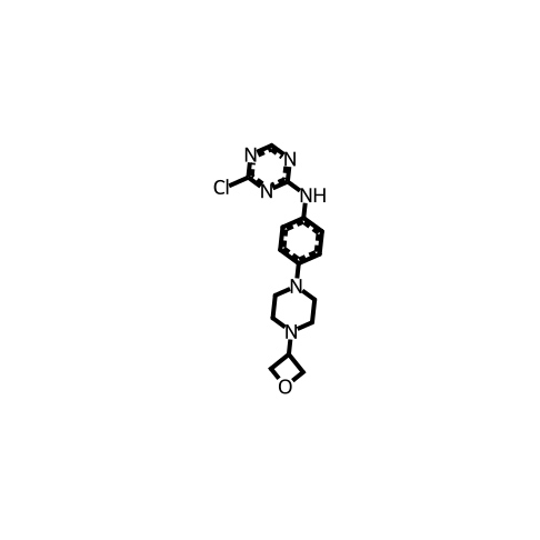 Clc1ncnc(Nc2ccc(N3CCN(C4COC4)CC3)cc2)n1